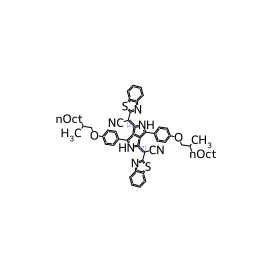 CCCCCCCCC(C)COc1ccc(-c2[nH]/c(=C(/C#N)c3nc4ccccc4s3)c3c(-c4ccc(OCC(C)CCCCCCCC)cc4)[nH]/c(=C(/C#N)c4nc5ccccc5s4)c23)cc1